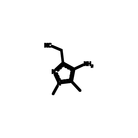 Cc1c(N)c(CC#N)nn1C